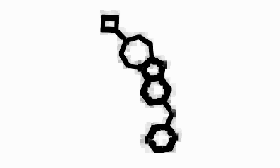 C1=CC(N2CCc3nc4cc(Oc5cnccn5)ccc4n3CC2)=C1